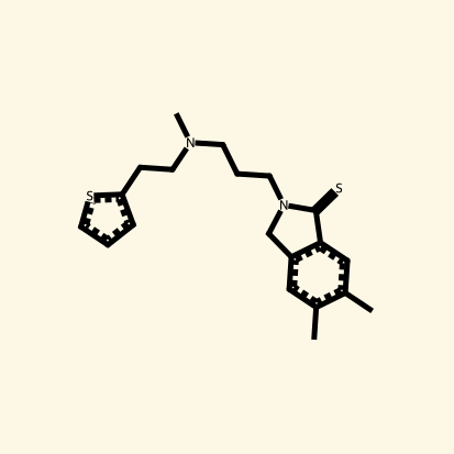 Cc1cc2c(cc1C)C(=S)N(CCCN(C)CCc1cccs1)C2